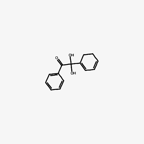 O=C(c1ccccc1)C(O)(O)C1=CC=CCC1